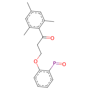 Cc1cc(C)c(C(=O)CCOc2ccccc2P=O)c(C)c1